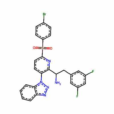 NC(Cc1cc(F)cc(F)c1)c1nc(S(=O)(=O)c2ccc(Br)cc2)ccc1-n1nnc2ccccc21